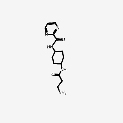 NCCC(=O)NC1CCC(NC(=O)c2ncccn2)CC1